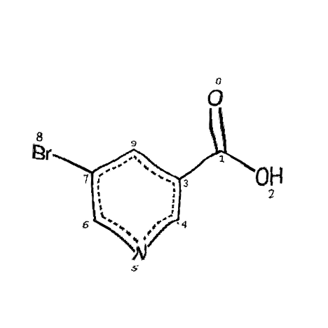 O=C(O)c1[c]ncc(Br)c1